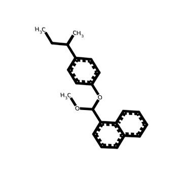 CCC(C)c1ccc(OC(OC)c2cccc3ccccc23)cc1